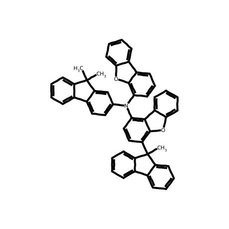 CC1(C)c2ccccc2-c2ccc(N(c3cccc4c3oc3ccccc34)c3ccc(C4(C)c5ccccc5-c5ccccc54)c4oc5ccccc5c34)cc21